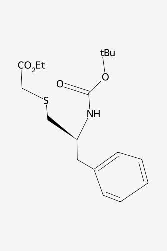 CCOC(=O)CSC[C@H](Cc1ccccc1)NC(=O)OC(C)(C)C